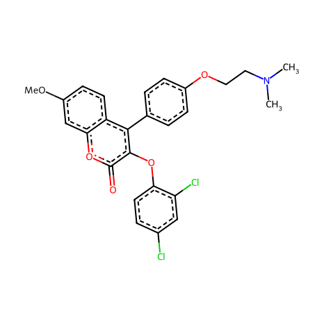 COc1ccc2c(-c3ccc(OCCN(C)C)cc3)c(Oc3ccc(Cl)cc3Cl)c(=O)oc2c1